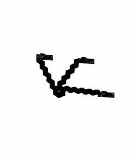 CCCCCCCCCCCCCCCCCCCc1c[c]cc(CCCCCCCCCCCCCCCCCCC)c1CCCCCCCCCCCCCCCCCCC